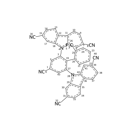 N#Cc1cc(-n2c3cc(C#N)ccc3c3ccc(C#N)cc32)c(-c2ccccc2C(F)(F)F)c(-n2c3cc(C#N)ccc3c3ccc(C#N)cc32)c1